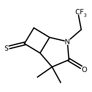 CC1(C)C(=O)N(CC(F)(F)F)C2CC(=S)C21